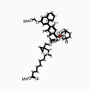 COCOc1cc(-c2c(F)cc3c(N4C[C@H]5CCC(C)(C4)N5C(=O)OC(C)(C)C)nc(OCC4(CN(C)CCCCCCCC(=O)OC)CC4)nc3c2F)c2ccccc2c1